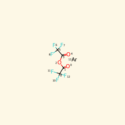 O=C(OC(=O)C(F)(F)F)C(F)(F)F.[Ar]